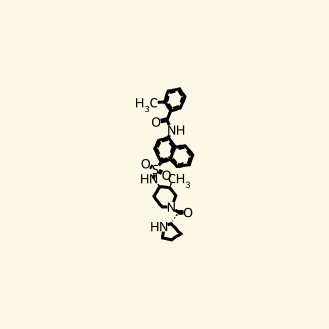 Cc1ccccc1C(=O)Nc1ccc(S(=O)(=O)N[C@H]2CCN(C(=O)[C@@H]3CCCN3)C[C@H]2C)c2ccccc12